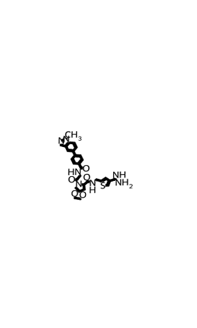 Cn1ncc2cc(-c3ccc(C(=O)NCC(=O)N4CC5(CC4C(=O)NCc4cc(C(=N)N)cs4)OCCO5)cc3)ccc21